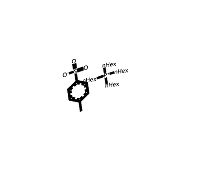 CCCCCC[P+](CCCCCC)(CCCCCC)CCCCCC.Cc1ccc(S(=O)(=O)[O-])cc1